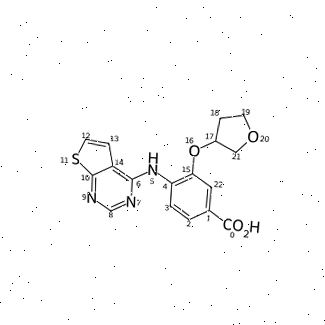 O=C(O)c1ccc(Nc2ncnc3sccc23)c(OC2CCOC2)c1